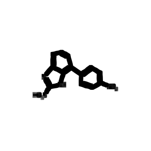 O=[N+]([O-])c1ccc(-c2cccc3nc(S(=O)(=O)O)[nH]c23)cc1